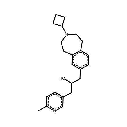 Cc1ccc(CC(O)Cc2ccc3c(c2)CCN(C2CCC2)CC3)cn1